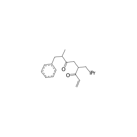 C=CC(=O)C(CC(=O)C(C)Cc1ccccc1)CC(C)C